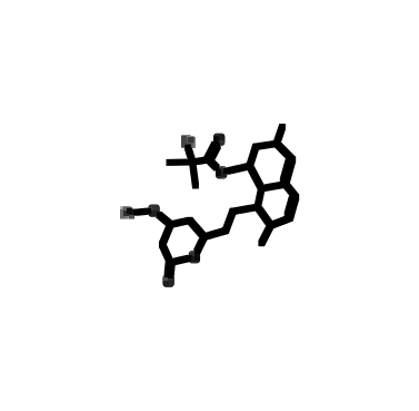 CCC(C)(C)C(=O)OC1CC(C)C=C2C=CC(C)C(CCC3CC(OC(C)C)CC(=O)O3)C21